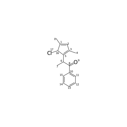 CC1=CC(C)=C(C(C)C(=O)c2ccccc2)C1Cl